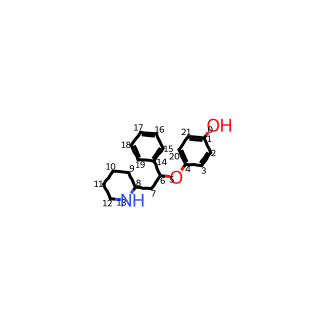 Oc1ccc(OC(CC2CCCCN2)c2ccccc2)cc1